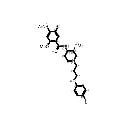 COc1cc(NC(C)=O)c(Cl)cc1C(=O)N[C@@H]1CCN(CCCOc2ccc(F)cc2)C[C@@H]1OC